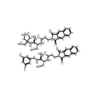 CC(C)C[C@H](NC(CCN1C(=O)c2cc3ccccc3cc2C1=O)C(=O)O)C(=O)NCc1cc(F)cc(F)c1.CC(C)C[C@H](N[C@H](CCN1C(=O)c2cc3ccccc3cc2C1=O)C(=O)O)C(=O)NC(CO)(CO)CO